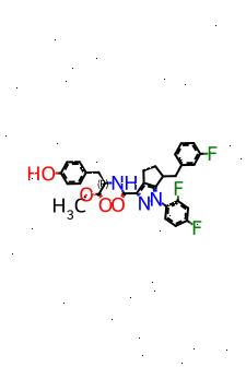 COC(=O)[C@@H](Cc1ccc(O)cc1)NC(=O)c1nn(-c2ccc(F)cc2F)c2c1CCC2Cc1cccc(F)c1